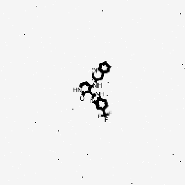 O=c1[nH]ccc(NC(CO)Cc2ccccc2)c1-c1nc2cc(C(F)(F)F)ccc2[nH]1